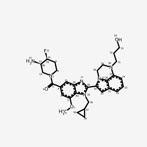 COc1cc(C(=O)N2CC[C@H](F)[C@H](N)C2)cc2nc(-c3cc4cccc5c4n3CCN5CCCO)n(CC3CC3)c12